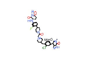 COc1cc(-c2cn(C)c(=O)c3[nH]ncc23)cc(Cl)c1CC1CCN(CC(=O)N2CCC(c3ccc(NC4CCC(=O)NC4=O)cc3F)CC2)CC1